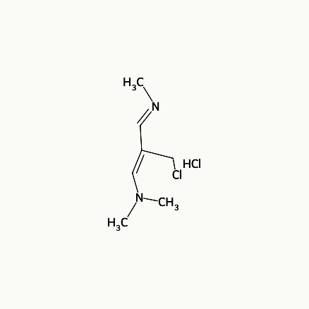 CN=CC(=CN(C)C)CCl.Cl